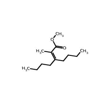 CCCCC(CCCC)=C(C)C(=O)OC